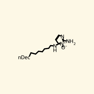 CCCCCCCCCCCCCCCCCNc1ccnc(N)[n+]1[O-]